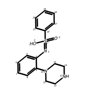 O=S(O)(=Nc1ccccc1N1CCNCC1)c1ccccc1